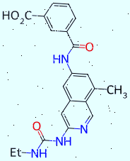 CCNC(=O)Nc1cc2cc(NC(=O)c3cccc(C(=O)O)c3)cc(C)c2cn1